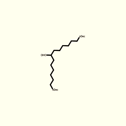 CCCCCCCCCCCCCCCCC(C=O)CCCCCCCCCCCCCCCC